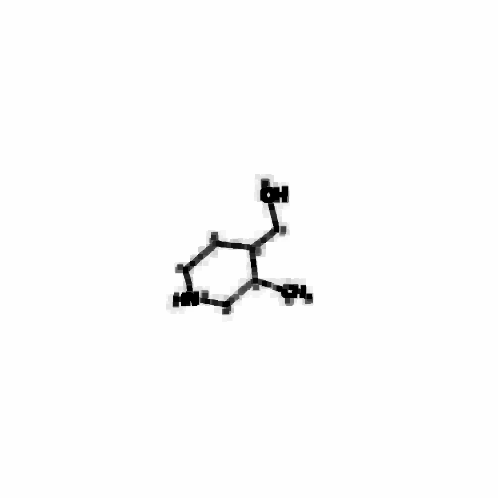 CC1CNCCC1CO